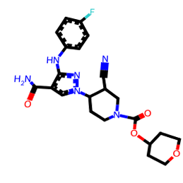 N#CC1CN(C(=O)OC2CCOCC2)CCC1n1cc(C(N)=O)c(Nc2ccc(F)cc2)n1